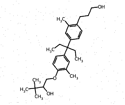 CCC(CC)(c1ccc(CCCO)c(C)c1)c1ccc(OCC(O)C(C)(C)C)c(C)c1